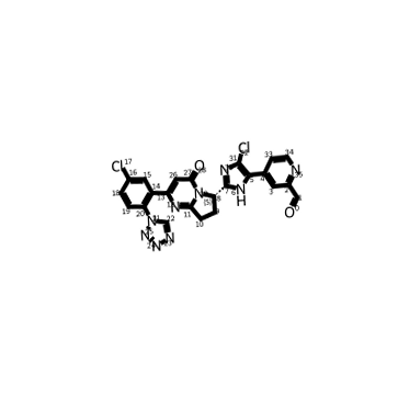 O=Cc1cc(-c2[nH]c([C@@H]3CCc4nc(-c5cc(Cl)ccc5-n5cnnn5)cc(=O)n43)nc2Cl)ccn1